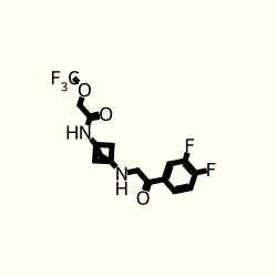 O=C(COC(F)(F)F)NC12CC(NCC(=O)c3ccc(F)c(F)c3)(C1)C2